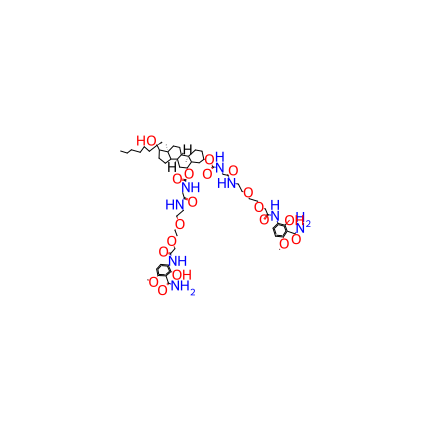 CCCCCC[C@](C)(O)C1CCC2[C@@H]3C[C@H](OC(=O)NCC(=O)NCCOCCOCC(=O)Nc4ccc(OC)c(C(N)=O)c4O)C4C[C@@H](OC(=O)NCC(=O)NCCOCCOCC(=O)Nc5ccc(OC)c(C(N)=O)c5O)CC[C@]4(C)[C@H]3CC[C@@]21C